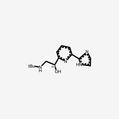 CC(C)(C)NC[C@H](O)c1cccc(-c2ncc[nH]2)n1